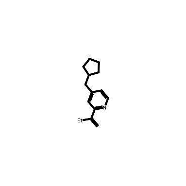 C=C(CC)c1cc(CC2CCCC2)ccn1